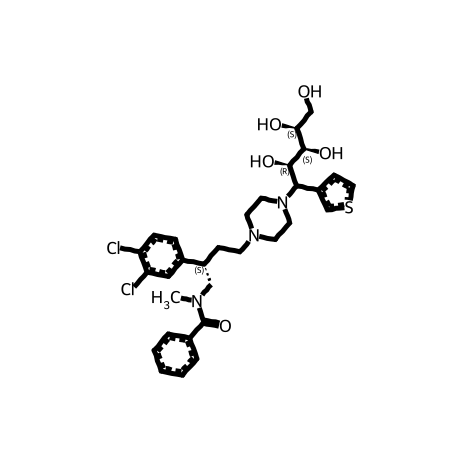 CN(C[C@@H](CCN1CCN(C(c2ccsc2)[C@@H](O)[C@H](O)[C@@H](O)CO)CC1)c1ccc(Cl)c(Cl)c1)C(=O)c1ccccc1